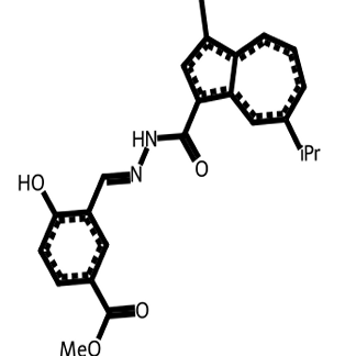 COC(=O)c1ccc(O)c(/C=N/NC(=O)c2cc(C)c3cccc(C(C)C)cc2-3)c1